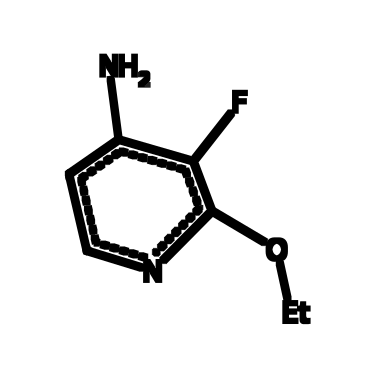 CCOc1nccc(N)c1F